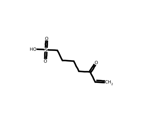 C=CC(=O)CCCCS(=O)(=O)O